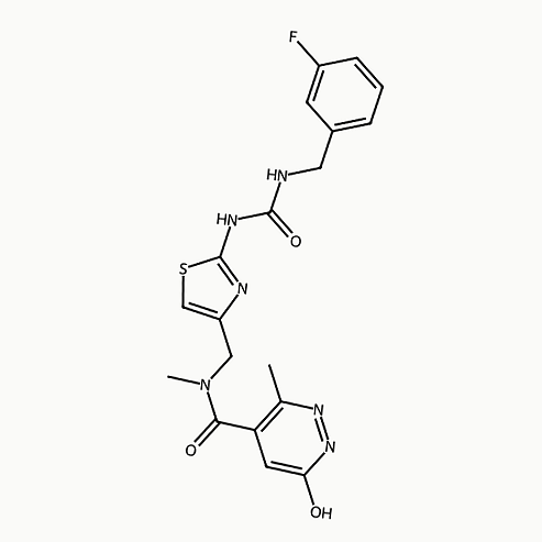 Cc1nnc(O)cc1C(=O)N(C)Cc1csc(NC(=O)NCc2cccc(F)c2)n1